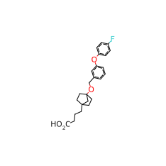 O=C(O)CCCC12CCC(OCc3cccc(Oc4ccc(F)cc4)c3)(CC1)C2